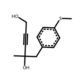 CSc1ccc(CC(C)(O)C#CCO)cc1